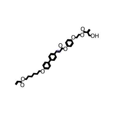 C=CC(=O)OCCCCCCOc1ccc(-c2ccc(/C=C/C(=O)Oc3ccc(OCCOC(=O)C(=C)CO)cc3)cc2)cc1